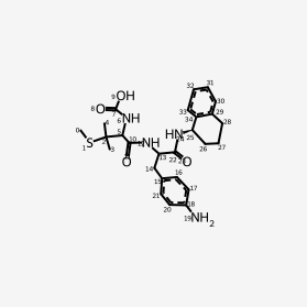 CSC(C)(C)C(NC(=O)O)C(=O)NC(Cc1ccc(N)cc1)C(=O)N[C@@H]1CCCc2ccccc21